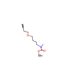 C#CCCOCCCCN(C)C(=O)OC(C)(C)C